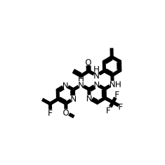 C=CC(=O)Nc1cc(C)ccc1Nc1nc(Nc2ncc(C(C)F)c(OC)n2)ncc1C(F)(F)F